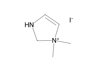 C[N+]1(C)C=CNC1.[I-]